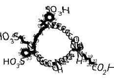 CC1(C)C2=[N+](CCCCCC(=O)NC(C(=O)NCCCCCC(=O)O)CCCCNC(=O)CCCCCC3(C)/C(=C/C=C/C=C/2)N(CCCS(=O)(=O)O)c2ccc(S(=O)(=O)O)cc23)c2ccc(S(=O)(=O)O)cc21